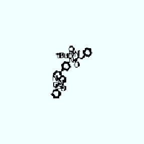 CN(C(=O)OC(C)(C)C)C(Cc1ccccc1)C(=O)Nc1ccc(-c2ccnc3c2ccn3S(=O)(=O)c2ccccc2)cc1